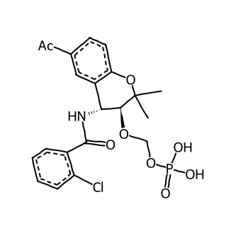 CC(=O)c1ccc2c(c1)[C@@H](NC(=O)c1ccccc1Cl)[C@H](OCOP(=O)(O)O)C(C)(C)O2